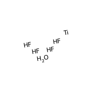 F.F.F.F.O.[Ti]